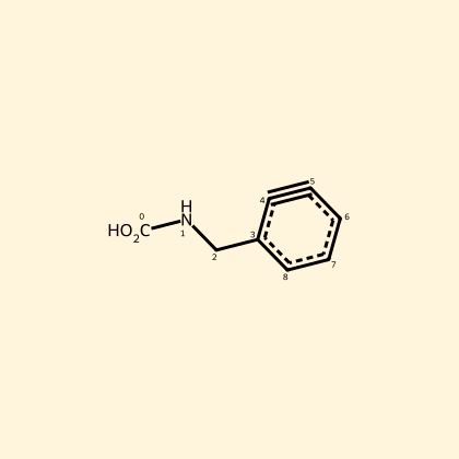 O=C(O)NCc1c#cccc1